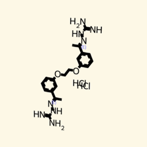 C/C(=N\NC(=N)N)c1cccc(OCCOc2cccc(/C(C)=N/NC(=N)N)c2)c1.Cl.Cl